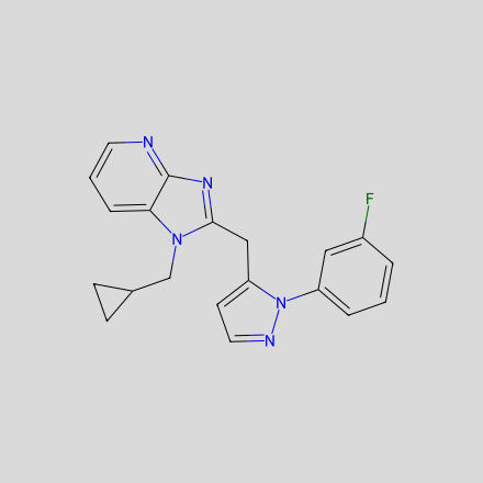 Fc1cccc(-n2nccc2Cc2nc3ncccc3n2CC2CC2)c1